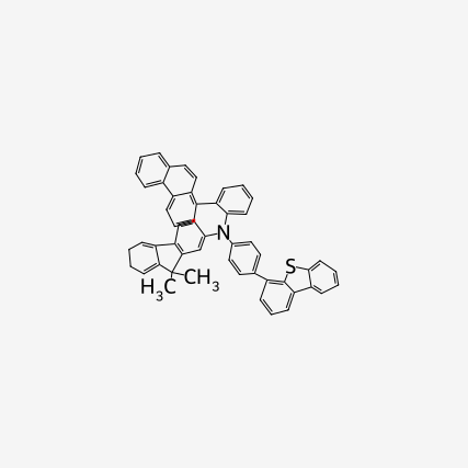 CC1(C)C2=CCCC=C2c2ccc(N(c3ccc(-c4cccc5c4sc4ccccc45)cc3)c3ccccc3-c3cccc4c3ccc3ccccc34)cc21